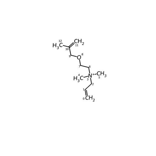 C=CC[N+](C)(C)CCOCC(=C)C